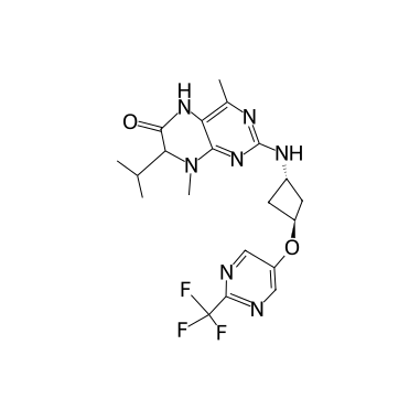 Cc1nc(N[C@H]2C[C@H](Oc3cnc(C(F)(F)F)nc3)C2)nc2c1NC(=O)C(C(C)C)N2C